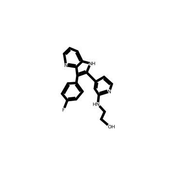 OCCNc1cc(-c2[nH]c3cccnc3c2-c2ccc(F)cc2)ccn1